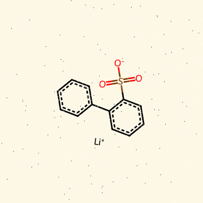 O=S(=O)([O-])c1ccccc1-c1ccccc1.[Li+]